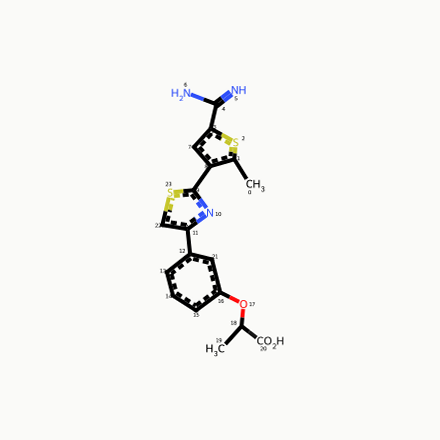 Cc1sc(C(=N)N)cc1-c1nc(-c2cccc(OC(C)C(=O)O)c2)cs1